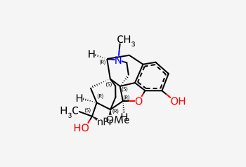 CCC[C@](C)(O)[C@H]1C[C@@]23CC[C@]1(OC)[C@@H]1Oc4c(O)ccc5c4[C@@]12CCN(C)[C@@H]3C5